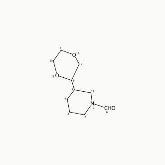 O=CN1CCCC(C2COCCO2)C1